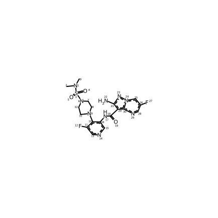 CN(C)S(=O)(=O)N1CCN(c2c(F)cncc2NC(=O)c2c(N)nn3cc(F)cnc23)CC1